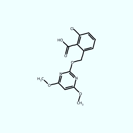 COc1cc(OC)nc(OCc2cccc(Cl)c2C(=O)O)n1